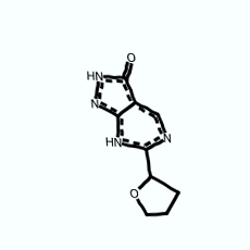 O=c1[nH]nc2[nH]c(C3CCCO3)ncc1-2